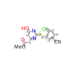 COC(=O)Cc1cc(O)nc(SCc2cc(C#N)ccc2Cl)n1